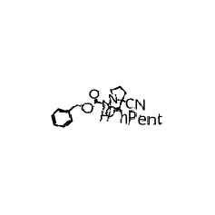 CCCCCC(=O)C1(C#N)CCCN1NC(=O)OCc1ccccc1